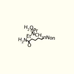 CCCCCCCCCCCCCC(N)=O.CCCN(C)CC.O